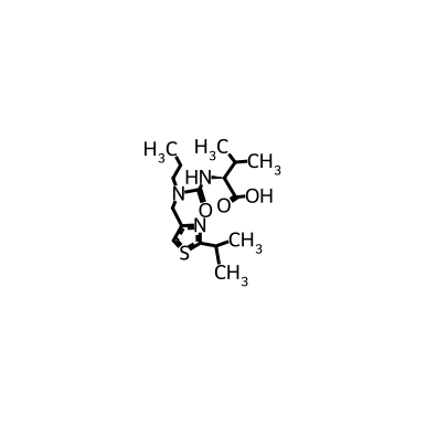 CCCN(Cc1csc(C(C)C)n1)C(=O)N[C@H](C(=O)O)C(C)C